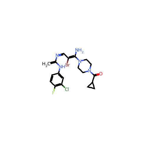 C=C(/N=C\C(Br)=C(/N)N1CCN(C(=O)C2CC2)CC1)Nc1ccc(F)c(Cl)c1